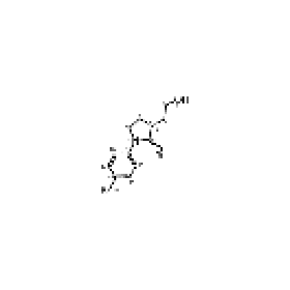 O=C1N(CCO)CCN1c1ccc(Br)cc1